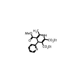 CCOC(=O)C1=C(C(=O)OCC)C(c2ccccn2)C(C(=O)OC)=C(C)N1